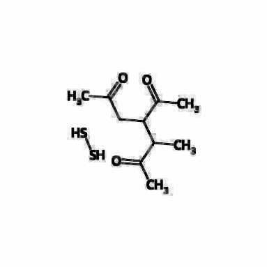 CC(=O)CC(C(C)=O)C(C)C(C)=O.SS